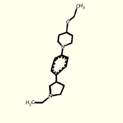 CCOC1CCN(c2ccc(C3CCN(CC)C3)cc2)CC1